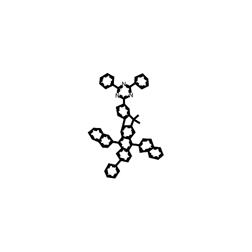 CC1(C)c2cc(-c3nc(-c4ccccc4)nc(-c4ccccc4)n3)ccc2-c2cc3c(-c4ccc5ccccc5c4)c4cc(-c5ccccc5)ccc4c(-c4ccc5ccccc5c4)c3cc21